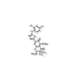 COc1c2n(cc(-c3nnc(Cc4ccc(F)cc4F)s3)c1=O)CC(OC)C(C)(C)C2=O